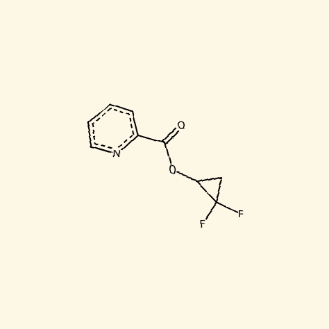 O=C(OC1CC1(F)F)c1ccccn1